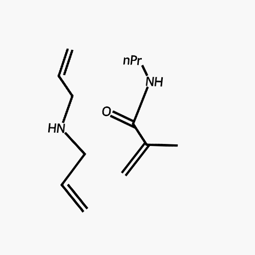 C=C(C)C(=O)NCCC.C=CCNCC=C